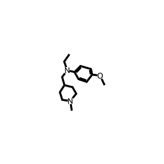 CCN(CC1CCN(C)CC1)c1ccc(OC)cc1